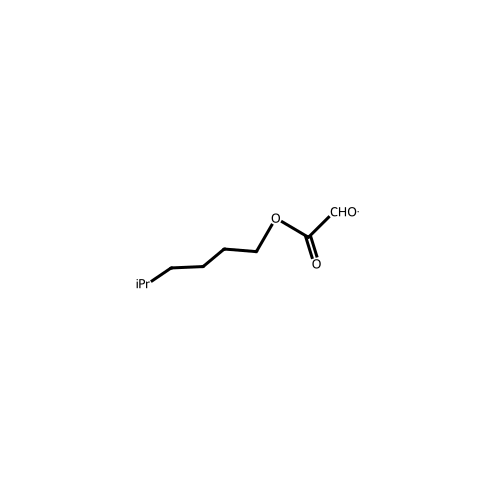 CC(C)CCCCOC(=O)[C]=O